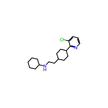 Clc1cccnc1C1CCC(CCNC2CCCCC2)CC1